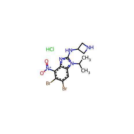 CC(C)n1c(NC2CNC2)nc2c([N+](=O)[O-])c(Br)c(Br)cc21.Cl